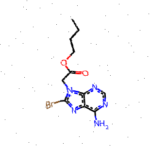 CCCCOC(=O)Cn1c(Br)nc2c(N)ncnc21